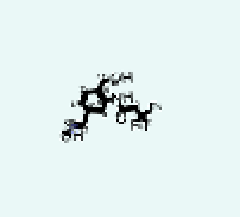 O=C(CC(F)(F)F)Nc1cc(/C=N/O)ccc1CO